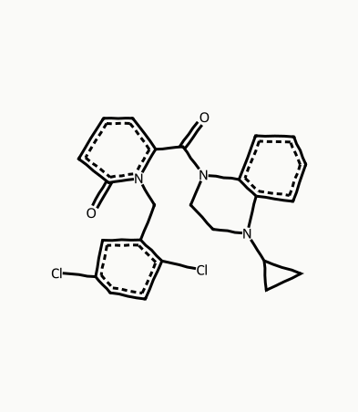 O=C(c1cccc(=O)n1Cc1cc(Cl)ccc1Cl)N1CCN(C2CC2)c2ccccc21